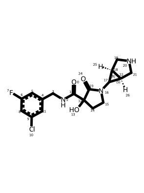 O=C(NCc1cc(F)cc(Cl)c1)C1(O)CCN(C2[C@H]3CNC[C@@H]23)C1=O